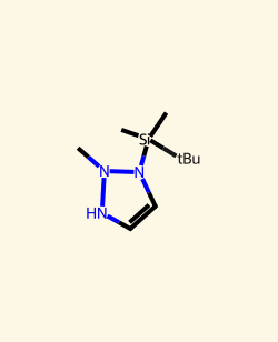 CN1NC=CN1[Si](C)(C)C(C)(C)C